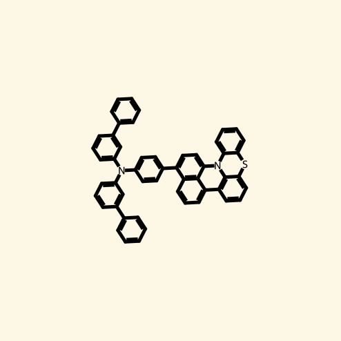 c1ccc(-c2cccc(N(c3ccc(-c4ccc5c6c4cccc6c4cccc6sc7ccccc7n5-c64)cc3)c3cccc(-c4ccccc4)c3)c2)cc1